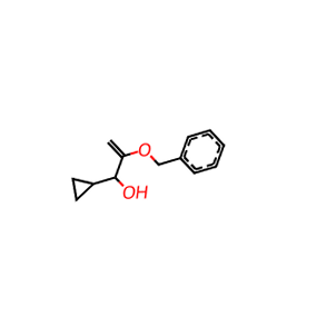 C=C(OCc1ccccc1)C(O)C1CC1